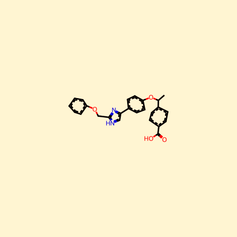 CC(Oc1ccc(-c2c[nH]c(COc3ccccc3)n2)cc1)c1ccc(C(=O)O)cc1